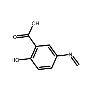 C=Nc1ccc(O)c(C(=O)O)c1